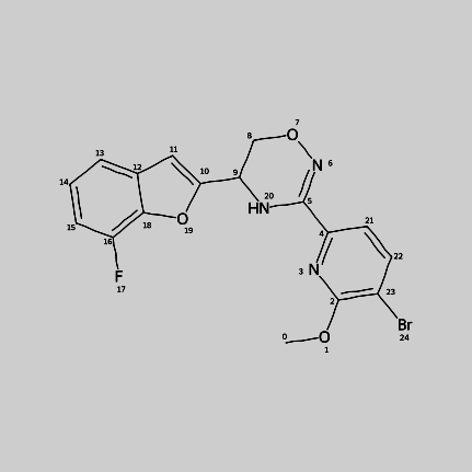 COc1nc(C2=NOCC(c3cc4cccc(F)c4o3)N2)ccc1Br